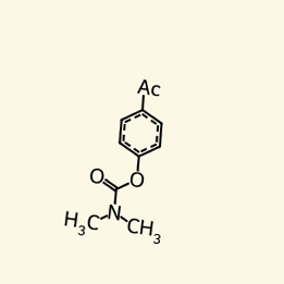 CC(=O)c1ccc(OC(=O)N(C)C)cc1